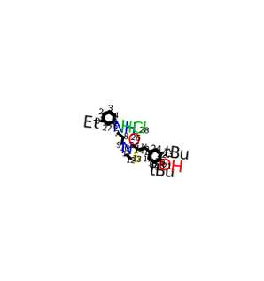 CCc1cccc(NCCCN2CCSC(=Cc3cc(C(C)(C)C)c(O)c(C(C)(C)C)c3)C2=O)c1.Cl